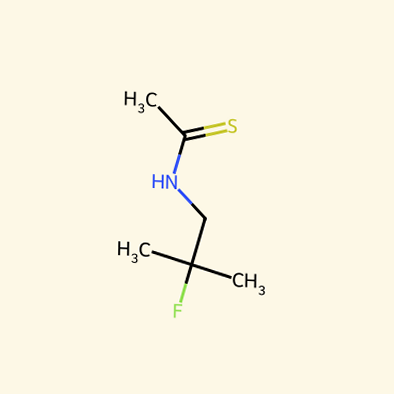 CC(=S)NCC(C)(C)F